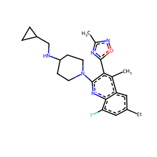 CCc1cc(F)c2nc(N3CCC(NCC4CC4)CC3)c(-c3nc(C)no3)c(C)c2c1